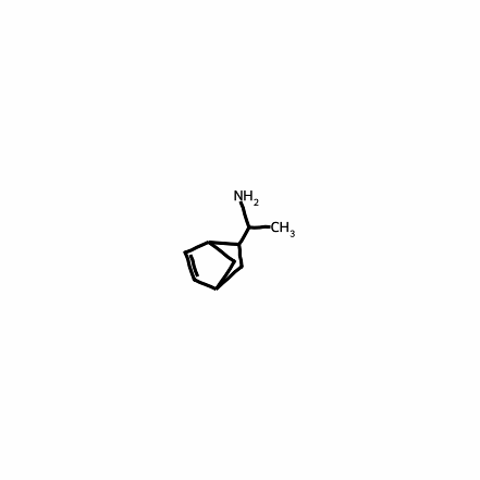 CC(N)C1CC2C=CC1C2